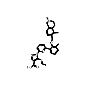 CCOc1c(C(=O)O)cnn1-c1cccc(-c2cccc(C)c2OCc2ccc3c(c2C)CCN(C)C3)n1